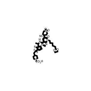 CC(Nc1ncnc2c1cc(C1(C#N)CCS(=O)(=O)CC1)c(=O)n2CCCCCC1OCCO1)c1cccc(C(F)(F)CC2CCN(C(=O)O)CC2)c1F